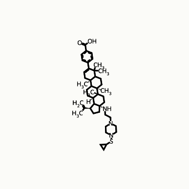 C=C(C)[C@@H]1CC[C@]2(NCCN3CCN(SC4CC4)CC3)CC[C@]3(C)[C@H](CCC4[C@@]5(C)CC=C(c6ccc(C(=O)O)cc6)C(C)(C)C5CC[C@]43C)C12